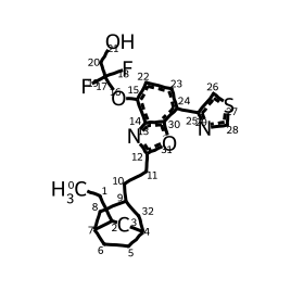 CCC1CC2CCC1CC(CCc1nc3c(OC(F)(F)CO)ccc(-c4cscn4)c3o1)C2